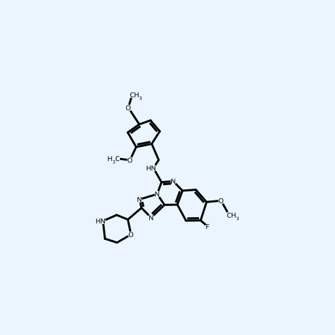 COc1ccc(CNc2nc3cc(OC)c(F)cc3c3nc(C4CNCCO4)nn23)c(OC)c1